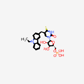 CCn1c2ccccc2c2cc(Cc3cn([C@@H]4O[C@H](COP(=O)(O)O)[C@@H](O)[C@H]4O)c(=O)[nH]c3=S)ccc21